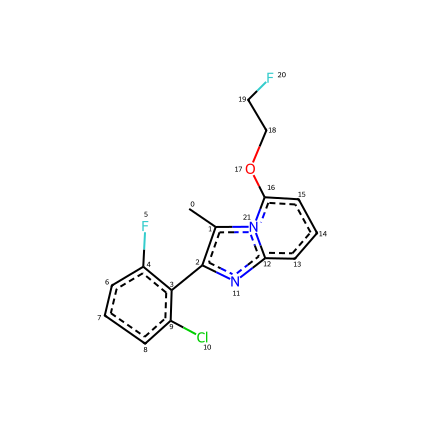 Cc1c(-c2c(F)cccc2Cl)nc2cccc(OCCF)n12